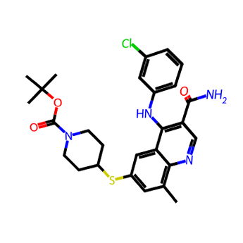 Cc1cc(SC2CCN(C(=O)OC(C)(C)C)CC2)cc2c(Nc3cccc(Cl)c3)c(C(N)=O)cnc12